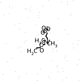 C=CC(=O)OC[N+](C)(C)CCCS(=O)(=O)[O-]